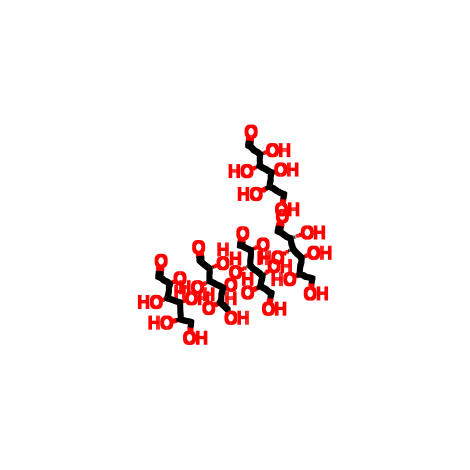 O=C[C@H](O)[C@@H](O)[C@H](O)[C@H](O)CO.O=C[C@H](O)[C@@H](O)[C@H](O)[C@H](O)CO.O=C[C@H](O)[C@@H](O)[C@H](O)[C@H](O)CO.O=C[C@H](O)[C@@H](O)[C@H](O)[C@H](O)CO.O=C[C@H](O)[C@@H](O)[C@H](O)[C@H](O)CO